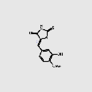 COc1ccc(/C=C2\SC(=S)NC2=O)cc1O